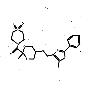 Cc1oc(-c2ccccc2)nc1CCC1COC(C)(C(=O)N2CCS(=O)(=O)CC2)OC1